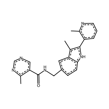 Cc1ncncc1C(=O)NCc1ccc2[nH]c(-c3cccnc3C)c(C)c2c1